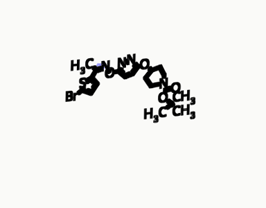 C/C(=N/Oc1ccc(OC2CCN(C(=O)OC(C)(C)C)CC2)nn1)c1ccc(Br)s1